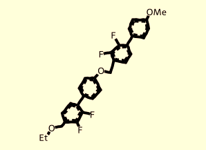 CCOCc1ccc(-c2ccc(OCc3ccc(-c4ccc(OC)cc4)c(F)c3F)cc2)c(F)c1F